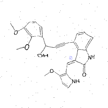 COc1cc[nH]c1/C=C1\C(=O)Nc2cccc(C#CC(O)c3cccc(OC)c3OC)c21